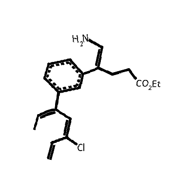 C=C/C(Cl)=C\C(=C/C)c1cccc(/C(=C\N)CCC(=O)OCC)c1